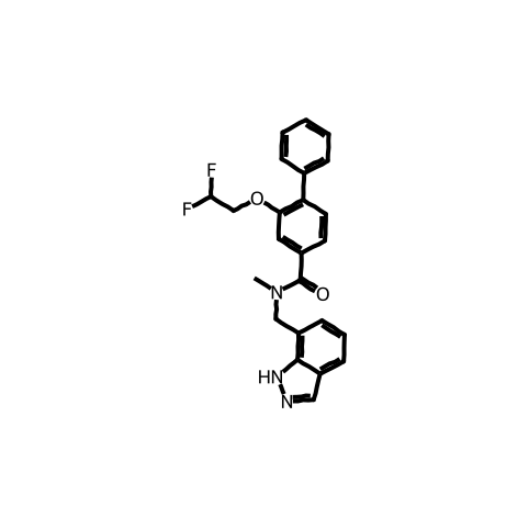 CN(Cc1cccc2cn[nH]c12)C(=O)c1ccc(-c2ccccc2)c(OCC(F)F)c1